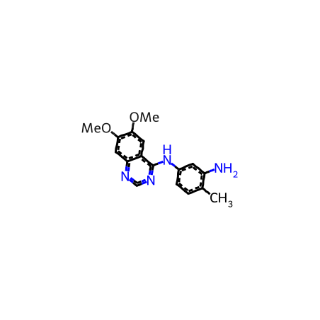 COc1cc2ncnc(Nc3ccc(C)c(N)c3)c2cc1OC